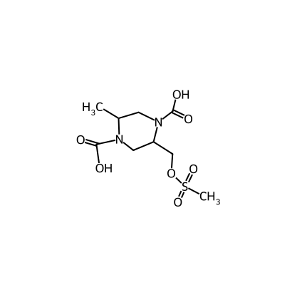 CC1CN(C(=O)O)C(COS(C)(=O)=O)CN1C(=O)O